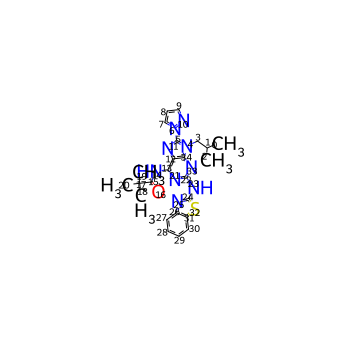 CC(C)Cn1c(-n2cccn2)nc2c(NC(=O)C(C)(C)C)nc(Nc3nc4ccccc4s3)nc21